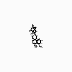 CC(=O)N[C@H]1CCC2(CCN([C@@H]3CC45C[C@H]4CC[C@@H]35)CC2)c2ccccc21